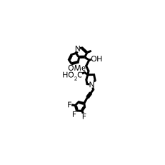 COc1ccc2ncc(C)c(C(O)CCC3(CC(=O)O)CCN(CC#Cc4cc(F)c(F)c(F)c4)CC3)c2c1